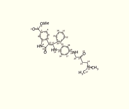 COC(=O)c1ccc2c(c1)NC(=O)/C2=C(\Nc1ccc(NCC(=O)CCN(C)C)cc1)c1ccccc1